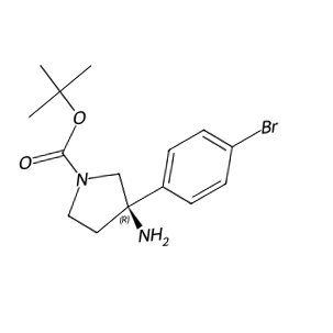 CC(C)(C)OC(=O)N1CC[C@@](N)(c2ccc(Br)cc2)C1